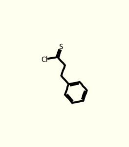 S=C(Cl)CCc1ccccc1